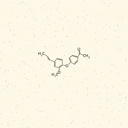 C/C=C/c1ccc(Oc2ccc(C(C)=O)cc2)c(OC)c1